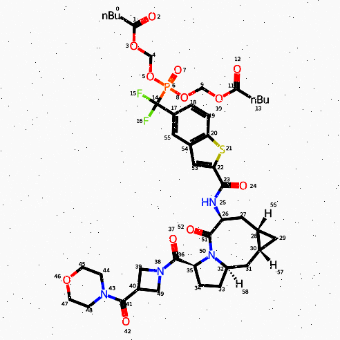 CCCCC(=O)OCOP(=O)(OCOC(=O)CCCC)C(F)(F)c1ccc2sc(C(=O)N[C@H]3C[C@@H]4C[C@@H]4C[C@H]4CC[C@@H](C(=O)N5CC(C(=O)N6CCOCC6)C5)N4C3=O)cc2c1